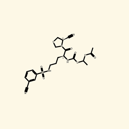 CC(=O)OC(C)OC(=O)N[C@@H](CCCNS(=O)(=O)c1cccc(C#N)c1)C(=O)N1CSC[C@H]1C#N